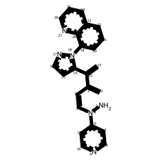 C=C(/C=C\N(N)c1ccncc1)C(=C)c1ccnn1-c1cccc2cccnc12